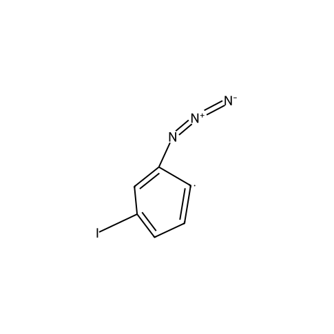 [N-]=[N+]=Nc1[c]ccc(I)c1